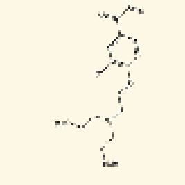 C=C(CC)C(=O)c1ccc(OCCN(CCOC)CCOC)c(Cl)c1